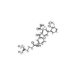 COc1ccccc1-c1cc(C(N)=O)c2[nH]c3cc(NC(=O)CCCN(C)C)ccc3c2c1